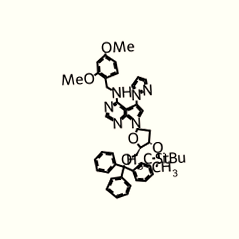 COc1ccc(CNc2ncnc3c2c(-n2cccn2)cn3[C@H]2C[C@H](O[Si](C)(C)C(C)(C)C)[C@@H](COC(c3ccccc3)(c3ccccc3)c3ccccc3)O2)c(OC)c1